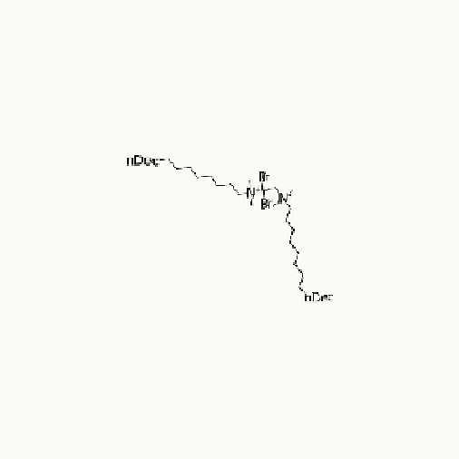 CCCCCCCCCCCCCCCCCC[N+](C)(C)CC(Br)(Br)[N+](C)(C)CCCCCCCCCCCCCCCCCC